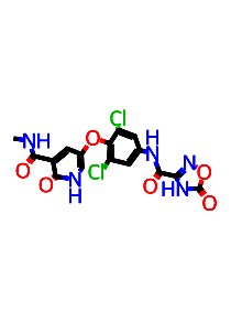 CNC(=O)c1cc(Oc2c(Cl)cc(NC(=O)c3noc(=O)[nH]3)cc2Cl)c[nH]c1=O